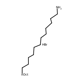 Br.CCCCCCCCCCCCCCCCCCCCN